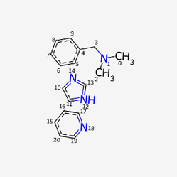 CN(C)Cc1ccccc1.c1c[nH]cn1.c1ccncc1